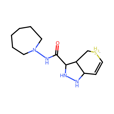 O=C(NN1CCCCCC1)C1NNC2C=C[SH3]CC21